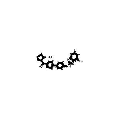 O=C(O)C1CCCC1C(=O)c1ccc(-c2ccc(Nc3nc4cc(F)cc(F)c4s3)cc2)cc1